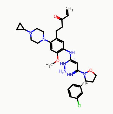 C=CC(=O)CCc1cc(N/C(=C/C(=N)N2OCC[C@@H]2c2cccc(Cl)c2)NN)c(OC)cc1N1CCN(C2CC2)CC1